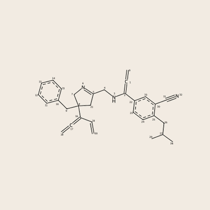 C=C=C(NCC1=NCC(Cc2ccccc2)(C(=C=C)C=C)C1)c1ccc(CC(C)C)c(C#N)c1